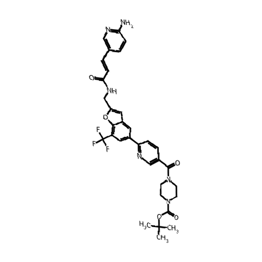 CC(C)(C)OC(=O)N1CCN(C(=O)c2ccc(-c3cc(C(F)(F)F)c4oc(CNC(=O)C=Cc5ccc(N)nc5)cc4c3)nc2)CC1